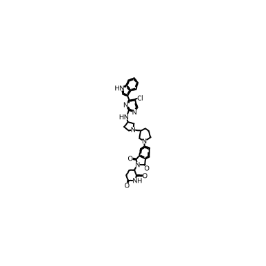 O=C1CCC(N2C(=O)c3ccc(N4CCCC(N5CCC(Nc6ncc(Cl)c(-c7c[nH]c8ccccc78)n6)C5)C4)cc3C2=O)C(=O)N1